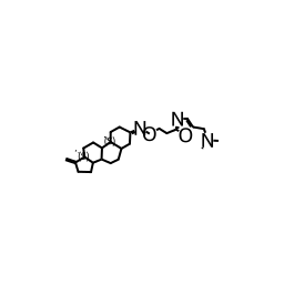 C=C1CCC2C3CCC4CC(=NOCCc5ncc(CN(C)C)o5)CC[C@]4(C)C3CC[C@]12C